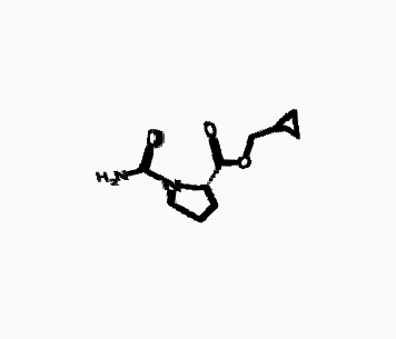 NC(=O)N1CCC[C@H]1C(=O)OCC1CC1